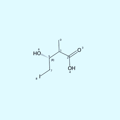 CC(C(=O)O)[C@@H](O)CI